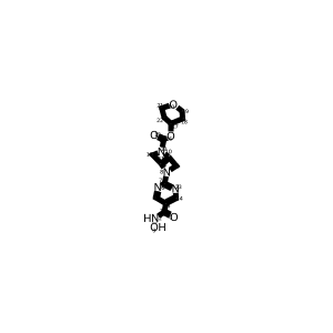 O=C(NO)c1cnc(N2CC3=C2CN3C(=O)OC2CCOCC2)nc1